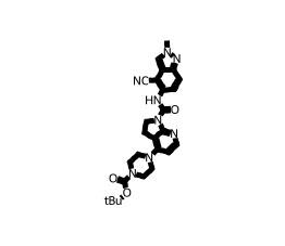 Cn1cc2c(C#N)c(NC(=O)N3CCc4c(N5CCN(C(=O)OC(C)(C)C)CC5)ccnc43)ccc2n1